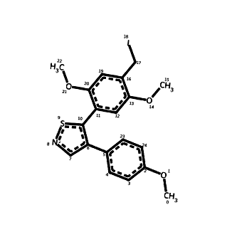 COc1ccc(-c2cnsc2-c2cc(OC)c(CI)cc2OC)cc1